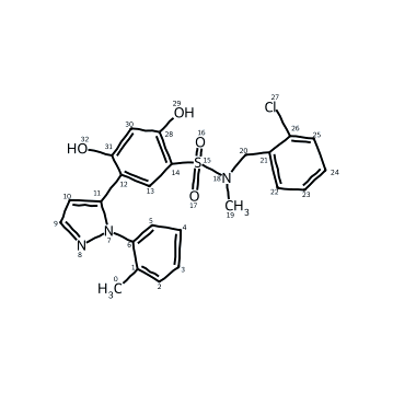 Cc1ccccc1-n1nccc1-c1cc(S(=O)(=O)N(C)Cc2ccccc2Cl)c(O)cc1O